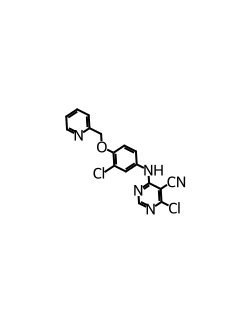 N#Cc1c(Cl)ncnc1Nc1ccc(OCc2ccccn2)c(Cl)c1